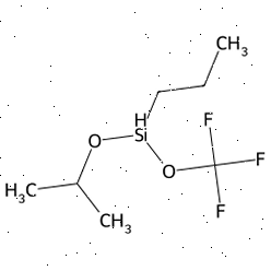 CCC[SiH](OC(C)C)OC(F)(F)F